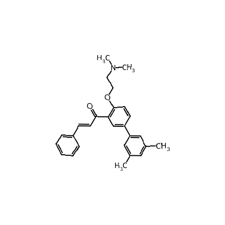 Cc1cc(C)cc(-c2ccc(OCCN(C)C)c(C(=O)C=Cc3ccccc3)c2)c1